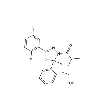 CC(C)C(=O)N1N=C(c2cc(F)ccc2F)OC1(CCCO)c1ccccc1